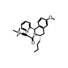 CCCC[C@H]1Cc2cc(OC)ccc2[C@H](c2ccccn2)N1C(=O)C#C[Si](C)(C)C